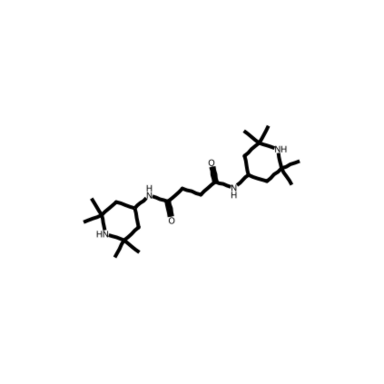 CC1(C)CC(NC(=O)CCC(=O)NC2CC(C)(C)NC(C)(C)C2)CC(C)(C)N1